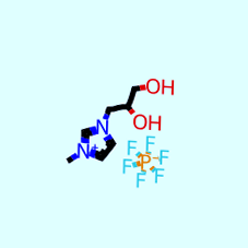 C[n+]1ccn(CC(O)CO)c1.F[P-](F)(F)(F)(F)F